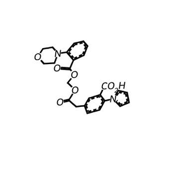 O=C(Cc1ccc(-n2cccc2)c(C(=O)O)c1)OCOC(=O)c1ccccc1N1CCOCC1